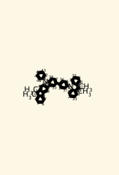 CC1(C)c2ccccc2-c2cc3c4cc(-c5ccc(N6c7ccccc7C(C)(C)c7ccccc76)cc5)ccc4n(-c4ccccc4)c3cc21